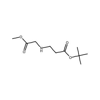 COC(=O)CNCCC(=O)OC(C)(C)C